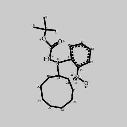 CC(C)(C)OC(=O)NN(c1ccccc1[N+](=O)[O-])C1CCCCCCCC1